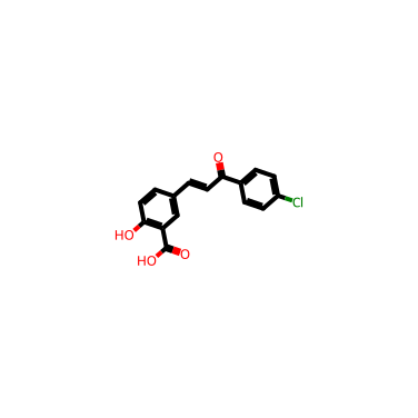 O=C(C=Cc1ccc(O)c(C(=O)O)c1)c1ccc(Cl)cc1